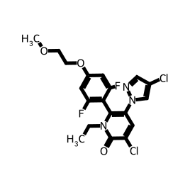 CCn1c(-c2c(F)cc(OCCOC)cc2F)c(-n2cc(Cl)cn2)cc(Cl)c1=O